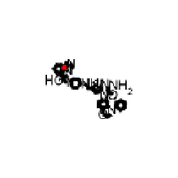 Nc1nc2sc(CNC3CCN(C[C@@](O)(Cn4cncn4)c4ccccc4)CC3)cc2n(-c2ccc3c(c2)N(c2ccccc2)CCO3)c1=O